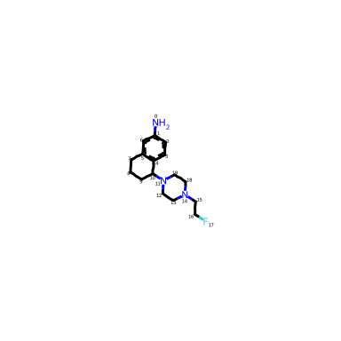 Nc1ccc2c(c1)CCCC2N1CCN(CCF)CC1